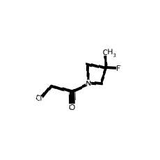 CC1(F)CN(C(=O)CCl)C1